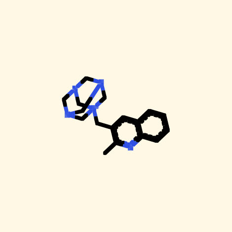 Cc1nc2ccccc2cc1C[N+]12CN3CN(CN(C3)C1)C2